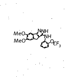 COc1cc2c(cc1OC)-c1n[nH]c(Nc3ccccc3OC(F)(F)F)c1C2